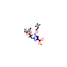 COC(=O)c1cn(COCC[Si](C)(C)C)c(CC(C)(C)C(O[SiH2]C)O[SiH2]C)n1